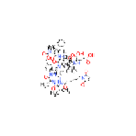 C/C(=C\[C@H](C(C)C)N(C)C(=O)[C@@H](NC(=O)[C@@H](N(C)C(=O)OCc1ccc(NC(=O)[C@H](C)NC(=O)[C@@H](NC(=O)CCCCCN2C(=O)C=CC2=O)C(C)C)cc1)C(C)(C)c1ccccc1)C(C)(C)C)C(=O)N[C@H](CCC(=O)O)C(=O)O